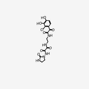 O=C(NCCNC(=O)C(=O)c1ccc(O)c(O)c1Cl)C(=O)NN1CCNC1=O